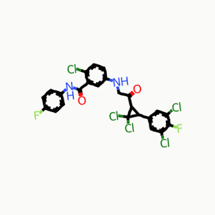 O=C(Nc1ccc(F)cc1)c1cc(NCC(=O)C2C(c3cc(Cl)c(F)c(Cl)c3)C2(Cl)Cl)ccc1Cl